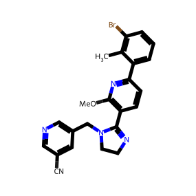 COc1nc(-c2cccc(Br)c2C)ccc1C1=NCCN1Cc1cncc(C#N)c1